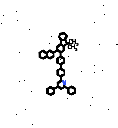 CC1(C)c2ccccc2-c2cc(-c3ccc4ccccc4c3)c(-c3ccc(-c4ccc(-c5cc(-c6ccccc6)cc(-c6ccccc6)n5)cc4)cc3)cc21